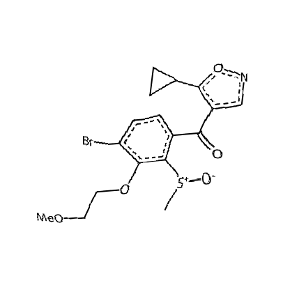 COCCOc1c(Br)ccc(C(=O)c2cnoc2C2CC2)c1[S+](C)[O-]